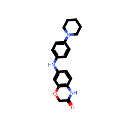 O=C1COc2cc(Nc3ccc(N4CCCCC4)cc3)ccc2N1